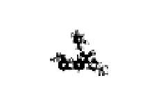 Cc1ccc2[nH]ncc2c1Oc1cccc2c(N3CCN(C(=O)O)CC3)c(C#N)c(OCC3CC(F)(F)CN3C)nc12